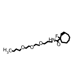 CCCCOCCOCCOCCCNC(=O)C1(F)C#CCCCCC1